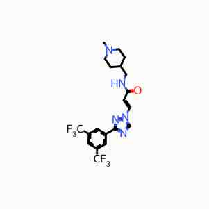 CN1CCC(CNC(=O)/C=C/n2cnc(-c3cc(C(F)(F)F)cc(C(F)(F)F)c3)n2)CC1